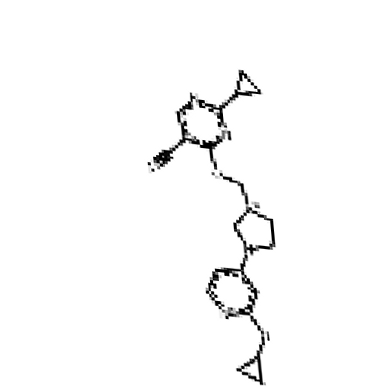 N#Cc1cnc(C2CC2)nc1OC[C@H]1CCN(c2ccnc(OC3CC3)c2)C1